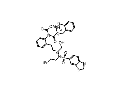 COC(=O)N(C(=O)[C@@H](N)Cc1ccccc1Cl)c1ccccc1CC[C@@H](CO)N(CCC(C)C)S(=O)(=O)c1ccc2ncsc2c1